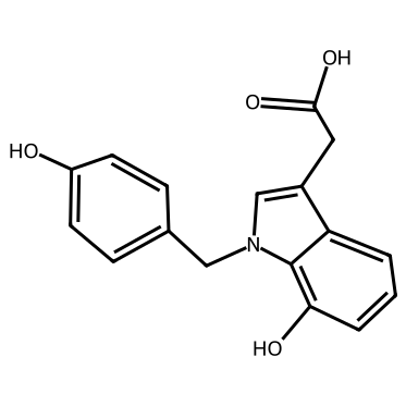 O=C(O)Cc1cn(Cc2ccc(O)cc2)c2c(O)cccc12